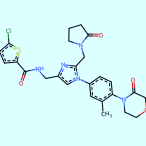 Cc1cc(-n2cc(CNC(=O)c3ccc(Cl)s3)nc2CN2CCCC2=O)ccc1N1CCOCC1=O